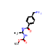 CC(NC(=O)OC(C)(C)C)NC(=O)c1ccc(CN)cc1